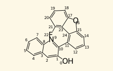 Oc1cc2ccccc2nc1-c1cccc2oc3cccc(F)c3c12